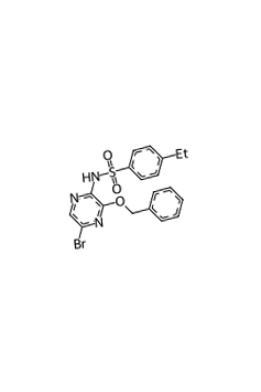 CCc1ccc(S(=O)(=O)Nc2ncc(Br)nc2OCc2ccccc2)cc1